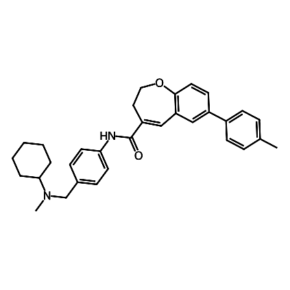 Cc1ccc(-c2ccc3c(c2)C=C(C(=O)Nc2ccc(CN(C)C4CCCCC4)cc2)CCO3)cc1